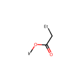 CCCC(=O)[O][Ir]